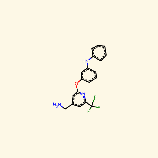 NCc1cc(Oc2cccc(Nc3ccccc3)c2)nc(C(F)(F)F)c1